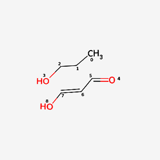 CCCO.O=CC=CO